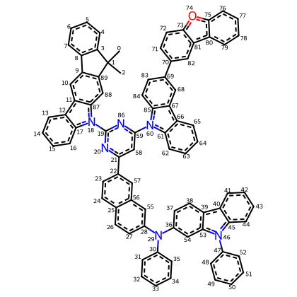 CC1(C)c2ccccc2-c2cc3c4ccccc4n(-c4nc(-c5ccc6ccc(N(c7ccccc7)c7ccc8c9ccccc9n(-c9ccccc9)c8c7)cc6c5)cc(-n5c6ccccc6c6cc(-c7ccc8oc9ccccc9c8c7)ccc65)n4)c3cc21